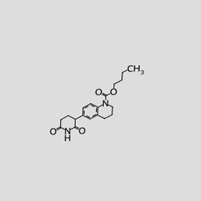 CCCCOC(=O)N1CCCc2cc(C3CCC(=O)NC3=O)ccc21